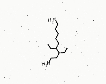 CCC(CCN)C(CC)CCCCCN